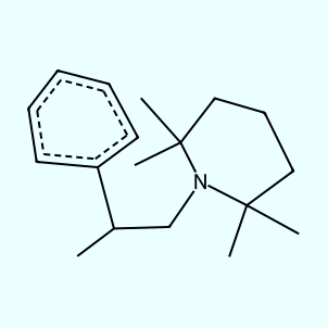 CC(CN1C(C)(C)CCCC1(C)C)c1ccccc1